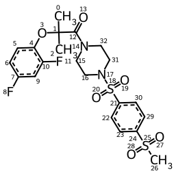 CC(C)(Oc1ccc(F)cc1F)C(=O)N1CCN(S(=O)(=O)c2ccc(S(C)(=O)=O)cc2)CC1